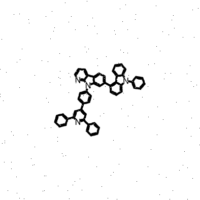 c1ccc(-c2cc(-c3ccc(-n4c5cc(-c6cccc7c6c6ccccc6n7-c6ccccc6)ccc5c5cccnc54)cc3)cc(-c3ccccc3)n2)cc1